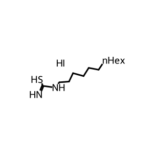 CCCCCCCCCCCCNC(=N)S.I